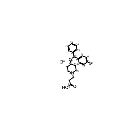 Cl.O=C(O)CCN1CCC(OC(c2ccccc2)c2ccc(F)cc2)CC1